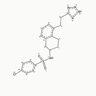 O=S(=O)(NC1CCc2c(CCc3nn[nH]n3)cccc2C1)c1ccc(Cl)cc1